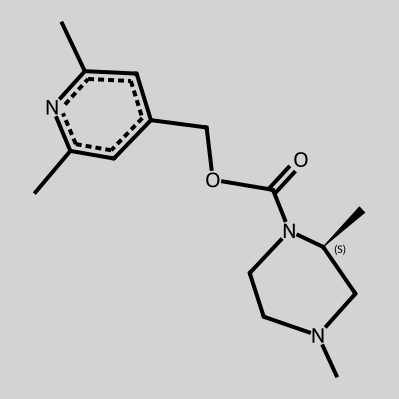 Cc1cc(COC(=O)N2CCN(C)C[C@@H]2C)cc(C)n1